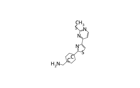 CSc1nccc(-c2csc(C34CCC(CN)(CC3)CC4)n2)n1